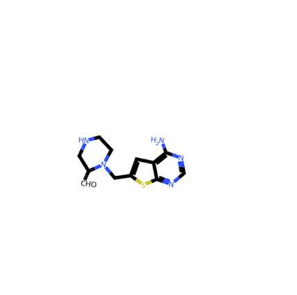 Nc1ncnc2sc(CN3CCNCC3C=O)cc12